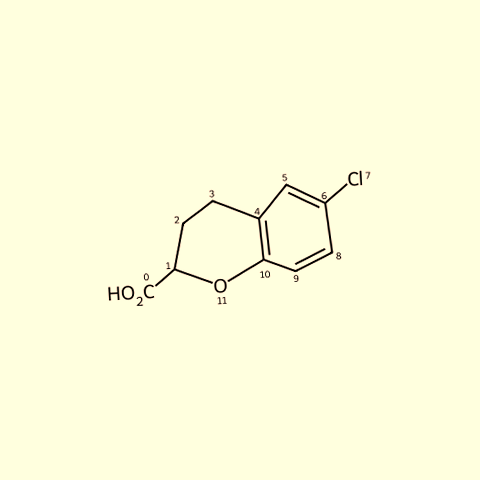 O=C(O)C1CCc2cc(Cl)ccc2O1